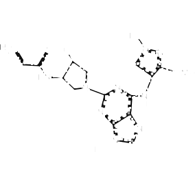 C=CC(=O)N[C@@H]1CN(c2nc(Nc3cn(CC)nc3OC)c3ncn(C)c3n2)C[C@@H]1F